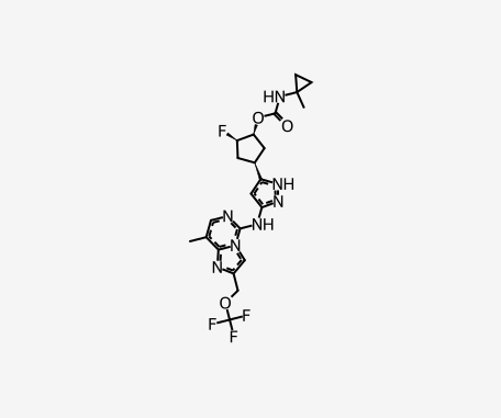 Cc1cnc(Nc2cc([C@H]3C[C@@H](F)[C@@H](OC(=O)NC4(C)CC4)C3)[nH]n2)n2cc(COC(F)(F)F)nc12